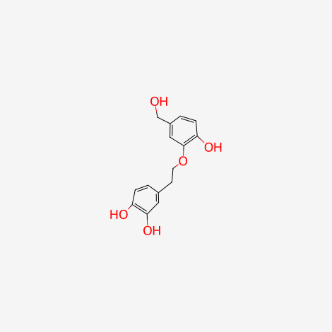 OCc1ccc(O)c(OCCc2ccc(O)c(O)c2)c1